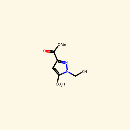 COC(=O)c1cc(C(=O)O)n(CC#N)n1